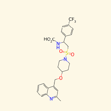 Cc1cc(COC2CCN(S(=O)(=O)CC(NC(=O)O)c3ccc(C(F)(F)F)cc3)CC2)c2ccccc2n1